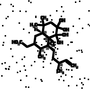 C=C[C@@H](C)CC[C@H]1[C@@H](C)C(CC(=O)O)C[C@H]2C(C)(C)CC(O)(O)C(O)(O)[C@]12C